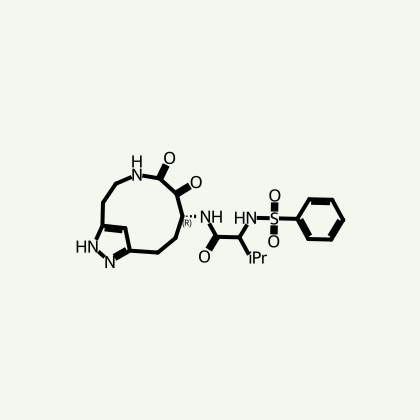 CC(C)C(NS(=O)(=O)c1ccccc1)C(=O)N[C@@H]1CCc2cc([nH]n2)CCNC(=O)C1=O